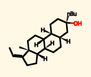 C/C=C1/CC[C@H]2[C@@H]3CC[C@@H]4C[C@@](O)(CCCC)CC[C@@H]4[C@H]3CC[C@]12C